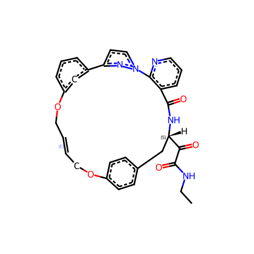 CCNC(=O)C(=O)[C@@H]1Cc2ccc(cc2)OC/C=C/COc2cccc(c2)-c2ccn(n2)-c2ncccc2C(=O)N1